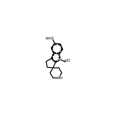 COc1ccc2c(c1)c1c(n2C)C2(CCNCC2)CC1.Cl